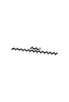 C=CCCCCCCCCCCCCCCCCCCCCCCCC.CCCCCCl